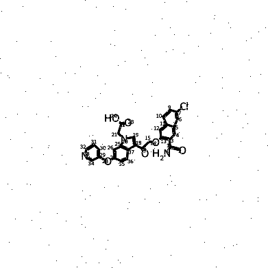 NC(=O)c1cc2cc(Cl)ccc2cc1OCC(=O)c1cn(CC(=O)O)c2cc(Oc3cccnc3)ccc12